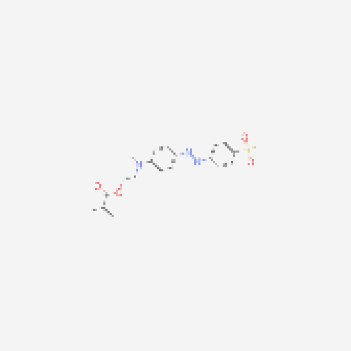 C=C(C)C(=O)OCCN(C)c1ccc(N=Nc2ccc(S(C)(=O)=O)cc2)cc1